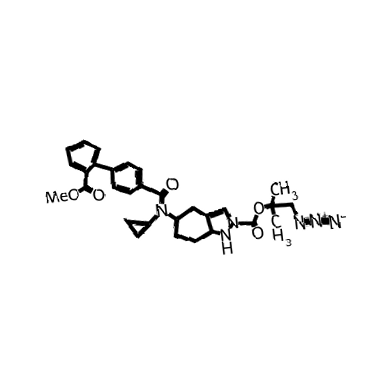 COC(=O)c1ccccc1-c1ccc(C(=O)N(C2CC2)C2CCC3NN(C(=O)OC(C)(C)CN=[N+]=[N-])C=C3C2)cc1